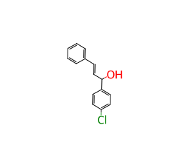 OC(/C=C/c1ccccc1)c1ccc(Cl)cc1